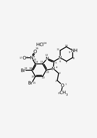 COCCn1c(N2CCNCC2)nc2c([N+](=O)[O-])c(Br)c(Br)cc21.Cl